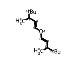 CC(C=COC=CC(C)C(C)(C)C)C(C)(C)C